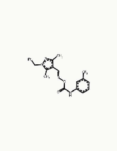 Cc1nn(CC(C)C)c(C)c1C=NOC(=O)Nc1cccc(C(F)(F)F)c1